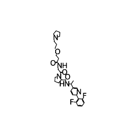 CC(NC(=O)C1CCCN1C(=O)CNC(=O)CCOCCCN1CCCC1)c1ccc(-c2c(F)cccc2F)nc1